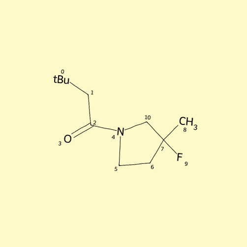 CC(C)(C)CC(=O)N1CCC(C)(F)C1